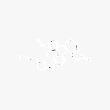 CCOc1ccc(C2=C(c3ccc(O[C@H]4CCN(CCCF)C4)cc3)c3ccc(O)cc3SCC2)cc1F